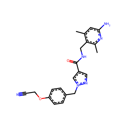 Cc1cc(N)nc(C)c1CNC(=O)c1cnn(Cc2ccc(OCC#N)cc2)c1